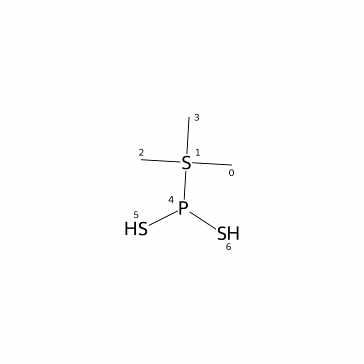 CS(C)(C)P(S)S